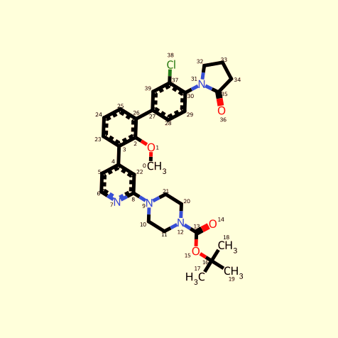 COc1c(-c2ccnc(N3CCN(C(=O)OC(C)(C)C)CC3)c2)cccc1-c1ccc(N2CCCC2=O)c(Cl)c1